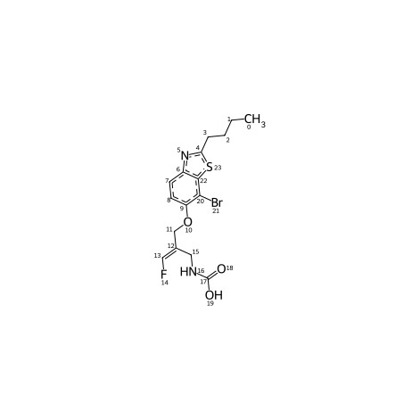 CCCCc1nc2ccc(OC/C(=C/F)CNC(=O)O)c(Br)c2s1